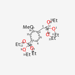 CCO[Si](Cc1ccc([Si](OCC)(OCC)OCC)cc1OC)(OCC)OCC